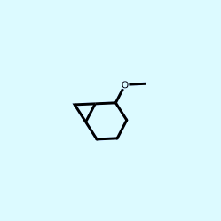 COC1CCCC2CC21